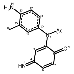 CC(=O)N(C1=CC(=N)C=CC1=O)c1ccc(N)c(C)c1